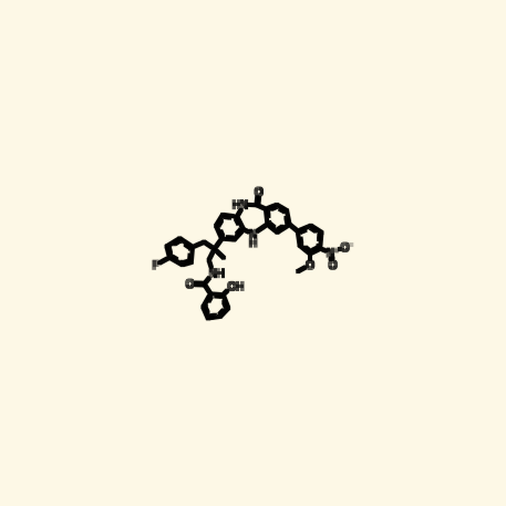 COc1cc(-c2ccc3c(c2)Nc2cc(C(C)(CNC(=O)c4ccccc4O)Cc4ccc(F)cc4)ccc2NC3=O)ccc1[N+](=O)[O-]